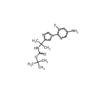 CC(C)(C)OC(=O)NC(C)(C)c1cn(-c2ncc(N)cc2F)cn1